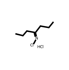 CCCC(CCC)=NCl.Cl